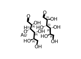 O=C[C@@H](O)[C@@H](O)[C@H](O)[C@H](O)CO.O=C[C@H](O)[C@@H](O)[C@H](O)[C@H](O)CO.[Au]